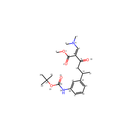 COC(=O)C(=CN(C)C)C(=O)CC(C)c1cccc(NC(=O)OC(C)(C)C)c1